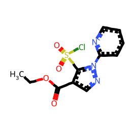 CCOC(=O)c1cnn(-c2ccccn2)c1S(=O)(=O)Cl